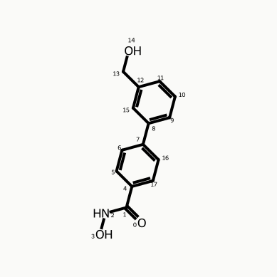 O=C(NO)c1ccc(-c2cccc(CO)c2)cc1